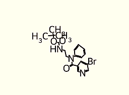 CC(C)(C)OC(=O)NCCN(C(=O)c1cncc(Br)c1)c1ccccc1